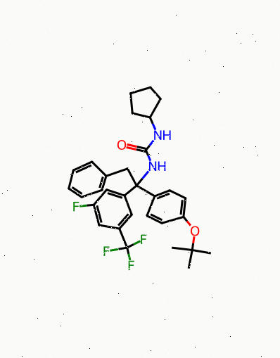 CC(C)(C)Oc1ccc(C(Cc2ccccc2)(NC(=O)NC2CCCC2)c2cc(F)cc(C(F)(F)F)c2)cc1